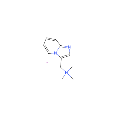 C[N+](C)(C)Cc1cnc2ccccn12.[I-]